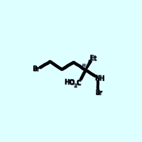 CC[C@@](CCCBr)(NBr)C(=O)O